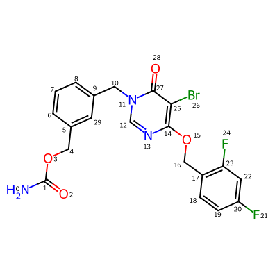 NC(=O)OCc1cccc(Cn2cnc(OCc3ccc(F)cc3F)c(Br)c2=O)c1